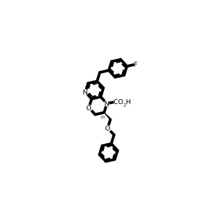 O=C(O)N1c2cc(Cc3ccc(F)cc3)cnc2OC[C@@H]1COCc1ccccc1